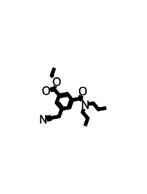 CCCN(CCC)C(=O)c1cc(CC#N)cc(C(=O)OCC)c1